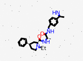 CCN1CC[C@H](c2ccccc2)C[C@@H]1C(=O)N[C@@H](C)C(=O)NCc1ccc(C(C)=N)cc1